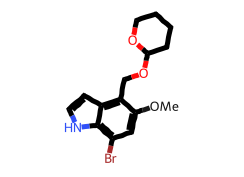 COc1cc(Br)c2[nH]ccc2c1COC1CCCCO1